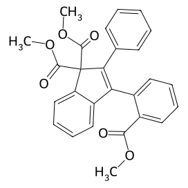 COC(=O)c1ccccc1C1=C(c2ccccc2)C(C(=O)OC)(C(=O)OC)c2ccccc21